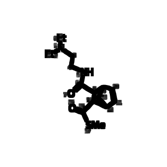 CCN(CC)CCNC(=O)C1C2C=CC(C2)C1C(=O)SC